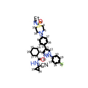 CCN=S1(=O)CCN(c2ccc(-c3cn(-c4ccc(F)cc4)nc3[C@@H]3CCCC[C@H]3C(=O)NC3(C#N)CC3)cc2)CC1